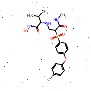 CNC(=O)C(CN[C@@H](C(=O)NO)C(C)C)S(=O)(=O)c1ccc(Oc2ccc(Cl)cc2)cc1